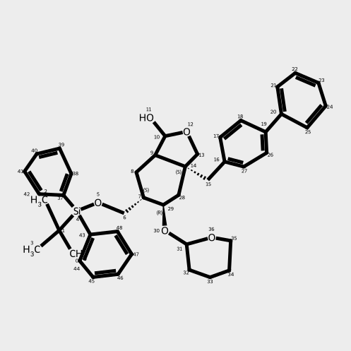 CC(C)(C)[Si](OC[C@@H]1CC2C(O)OC[C@@]2(Cc2ccc(-c3ccccc3)cc2)C[C@H]1OC1CCCCO1)(c1ccccc1)c1ccccc1